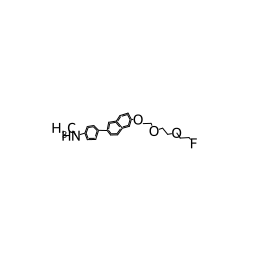 CNc1ccc(-c2ccc3cc(OCCOCCOCCF)ccc3c2)cc1